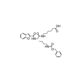 O=C(O)CCCCCNC(=O)[C@H](CCCCNC(=O)OCc1ccccc1)NC(=O)c1cc2ccccc2o1